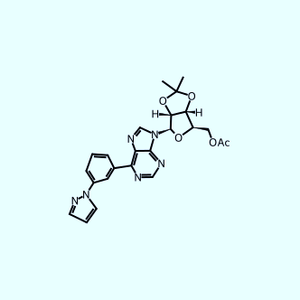 CC(=O)OC[C@H]1O[C@@H](n2cnc3c(-c4cccc(-n5cccn5)c4)ncnc32)[C@@H]2OC(C)(C)O[C@@H]21